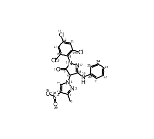 Cc1nn(C2C(=O)N(c3c(Cl)cc(Cl)cc3Cl)N=C2Nc2ccccc2)cc1[N+](=O)[O-]